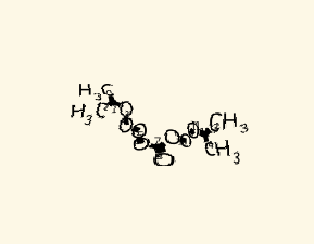 CC(C)OOOOC(=O)OOOC(C)C